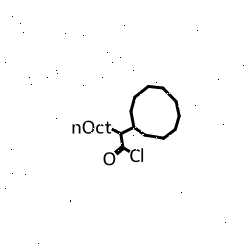 CCCCCCCCC(C(=O)Cl)C1CCCCCCCCC1